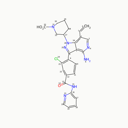 C=Cc1cnc(N)c2c(-c3ccc(C(=O)Nc4ccccn4)cc3Cl)nn(C3CCCN(C(=O)O)C3)c12